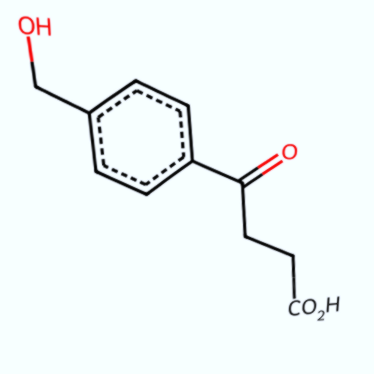 O=C(O)CCC(=O)c1ccc(CO)cc1